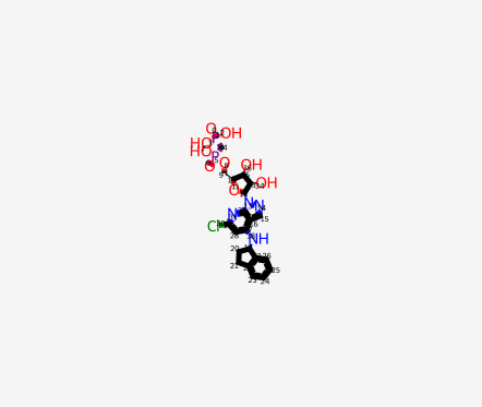 O=P(O)(O)CP(=O)(O)OC[C@H]1O[C@@H](n2ncc3c(N[C@@H]4CCc5ccccc54)cc(Cl)nc32)[C@@H](O)[C@H]1O